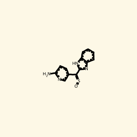 Nc1ccc(C(=S=O)c2nc3ccccc3[nH]2)cn1